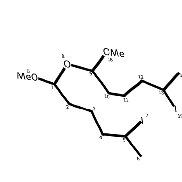 COC(CCCC(C)I)OC(CCCC(C)I)OC